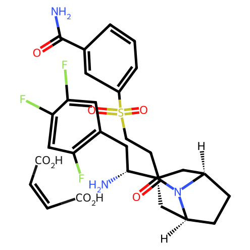 NC(=O)c1cccc(S(=O)(=O)CCC(=O)N2[C@@H]3CC[C@H]2C[C@H]([C@H](N)Cc2cc(F)c(F)cc2F)C3)c1.O=C(O)/C=C\C(=O)O